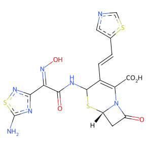 Nc1nc(C(=NO)C(=O)NC2S[C@H]3CC(=O)N3C(C(=O)O)=C2C=Cc2cncs2)ns1